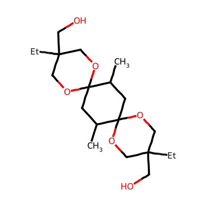 CCC1(CO)COC2(CC(C)C3(CC2C)OCC(CC)(CO)CO3)OC1